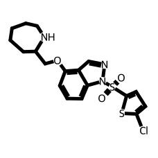 O=S(=O)(c1ccc(Cl)s1)n1ncc2c(OCC3CCCCCN3)cccc21